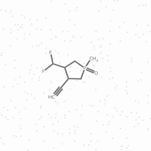 C#CC1CP(C)(=O)CC1C(F)F